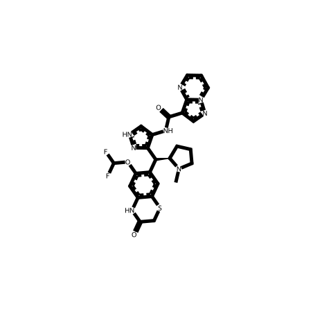 CN1CCC[C@@H]1C(c1cc2c(cc1OC(F)F)NC(=O)CS2)c1n[nH]cc1NC(=O)c1cnn2cccnc12